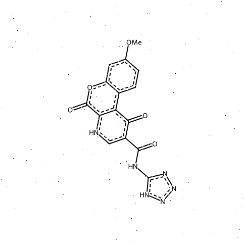 COc1ccc2c(c1)oc(=O)c1[nH]cc(C(=O)Nc3nnn[nH]3)c(=O)c12